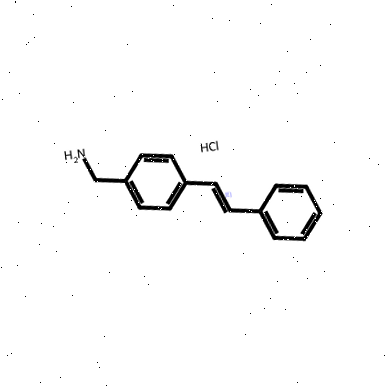 Cl.NCc1ccc(/C=C/c2ccccc2)cc1